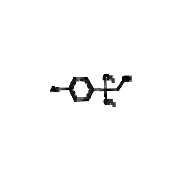 CC(=O)c1ccc(C(C)(C)CO)cc1